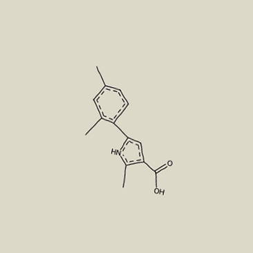 Cc1ccc(-c2cc(C(=O)O)c(C)[nH]2)c(C)c1